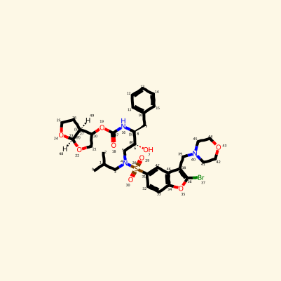 CC(C)CN(C[C@@H](O)[C@H](Cc1ccccc1)NC(=O)OC1CO[C@H]2OCC[C@@H]12)S(=O)(=O)c1ccc2oc(Br)c(CN3CCOCC3)c2c1